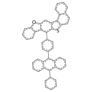 c1ccc(-c2c3ccccc3c(-c3ccc(-c4c5sc6ccc7ccccc7c6c5cc5oc6ccccc6c45)cc3)c3ccccc23)cc1